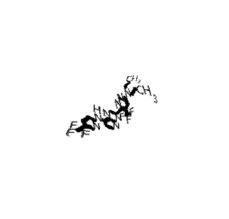 CCCN(CCC)c1cc(C(F)(F)F)c(-c2cnc3c(Nc4ccc(C(F)(F)F)cn4)ccnc3n2)nn1